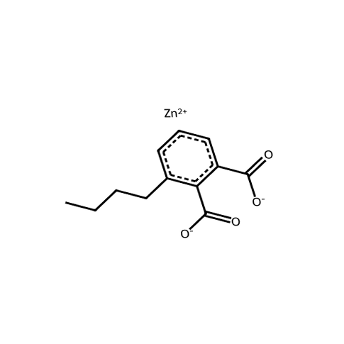 CCCCc1cccc(C(=O)[O-])c1C(=O)[O-].[Zn+2]